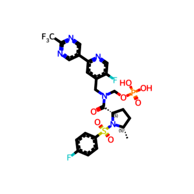 C[C@H]1CC[C@@H](C(=O)N(COP(=O)(O)O)Cc2cc(-c3cnc(C(F)(F)F)nc3)ncc2F)N1S(=O)(=O)c1ccc(F)cc1